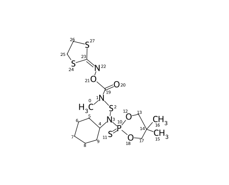 CN(SN(C1CCCCC1)P1(=S)OCC(C)(C)CO1)C(=O)ON=C1SCCS1